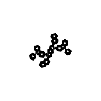 c1ccc(-n2c3ccccc3c3cc(-n4c(-c5ccc6ccccc6c5)cc5cc6c(cc(-c7ccc8ccccc8c7)n6-c6ccc7c(c6)c6ccccc6n7-c6ccccc6)cc54)ccc32)cc1